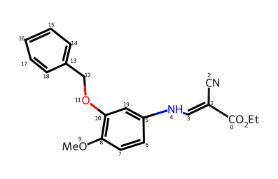 CCOC(=O)/C(C#N)=C/Nc1ccc(OC)c(OCc2ccccc2)c1